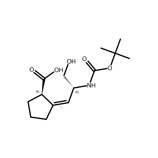 CC(C)(C)OC(=O)N[C@H](/C=C1/CCC[C@H]1C(=O)O)CO